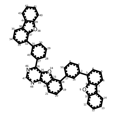 c1cc(-c2cccc3c2oc2ccccc23)cc(-c2cccc3c2oc2c(-c4cccc(-c5cccc6c5oc5ccccc56)c4)ncnc23)c1